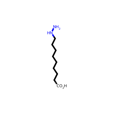 NNCCCCCCCCC(=O)O